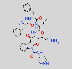 CC(C)C[C@@H](NC(=O)[C@@H](Cc1ccccc1)NC(=O)[C@H](N)Cc1ccccc1)C(=O)N[C@H](CCCCN)C(=O)C1C(=O)N(C(=O)NC2CCNCC2)c2ccccc21